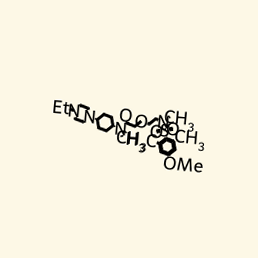 CCN1CCN([C@H]2CC[C@@H](N(C)C(=O)COCCN(C)S(=O)(=O)c3c(C)cc(OC)cc3C)CC2)CC1